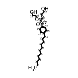 CCCCCCCCCCCCc1ccc(S(=O)(=O)N(OCCO)OCCO)cc1